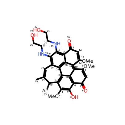 COc1c(O)c2c(=O)cc(OC)c3c4c(OC)cc(=O)c5c(NCCO)c(NCCO)c6c(c(c1C(C(C)=O)C(C)=C6)c23)c54